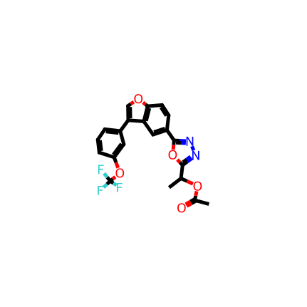 CC(=O)OC(C)c1nnc(-c2ccc3occ(-c4cccc(OC(F)(F)F)c4)c3c2)o1